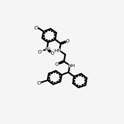 O=C(CNC(=O)c1ccc(Cl)cc1[N+](=O)[O-])NC(c1ccccc1)c1ccc(Cl)cc1